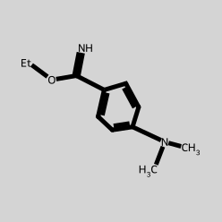 CCOC(=N)c1ccc(N(C)C)cc1